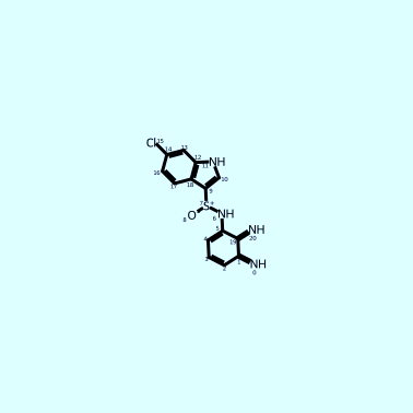 N=C1C=CC=C(N[S+]([O-])c2c[nH]c3cc(Cl)ccc23)C1=N